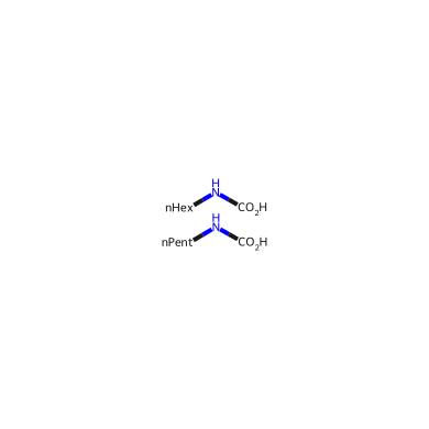 CCCCCCNC(=O)O.CCCCCNC(=O)O